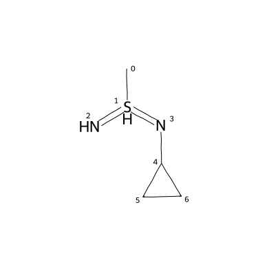 C/[SH](=N)=N/C1CC1